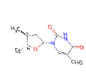 CC[C@H]1OC(n2cc(C=O)c(=O)[nH]c2=O)C[C@@H]1C